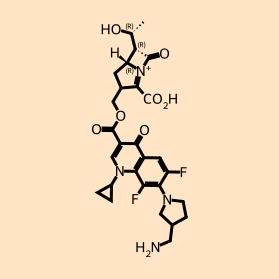 C[C@@H](O)[C@@H]1C(=O)[N+]2=C(C(=O)O)C(COC(=O)c3cn(C4CC4)c4c(F)c(N5CCC(CN)C5)c(F)cc4c3=O)C[C@H]12